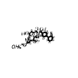 CC(C)C(C(=O)N1C[C@H](O)C[C@H]1C(=O)N[C@@H](C)c1ccc(-c2ccccc2F)cc1)c1cc(OCC=O)no1